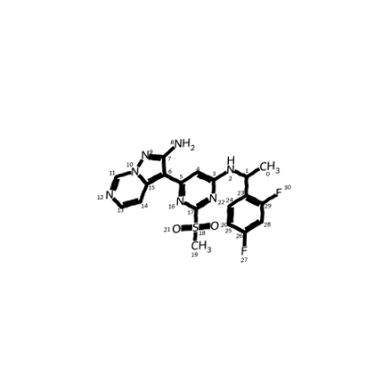 CC(Nc1cc(-c2c(N)nn3cnccc23)nc(S(C)(=O)=O)n1)c1ccc(F)cc1F